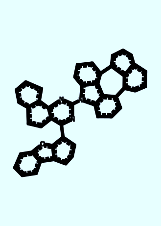 c1cc2c3c(cccc3c1)-c1cccc3c1c1c-2cccc1n3-c1nc(-c2cccc3c2oc2ccccc23)c2ccc3ccccc3c2n1